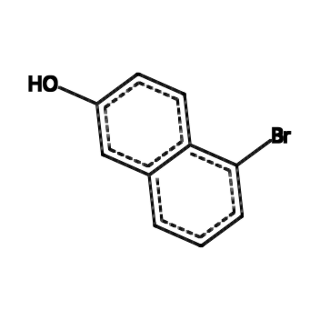 Oc1ccc2c(Br)cccc2c1